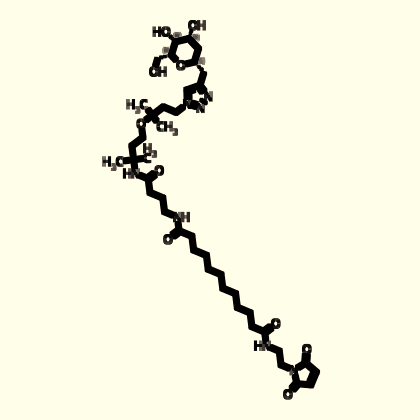 CC(C)(CCOC(C)(C)CCn1cc(C[C@H]2C[C@@H](O)[C@@H](O)[C@@H](CO)O2)nn1)NC(=O)CCCNC(=O)CCCCCCCCCCC(=O)NCCN1C(=O)C=CC1=O